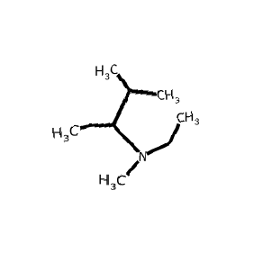 CCN(C)C(C)C(C)C